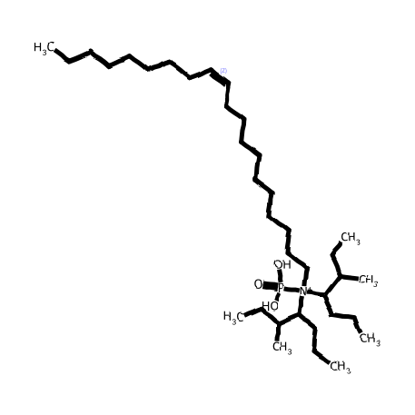 CCCCCCCC/C=C\CCCCCCCCCC[N+](C(CCC)C(C)CC)(C(CCC)C(C)CC)P(=O)(O)O